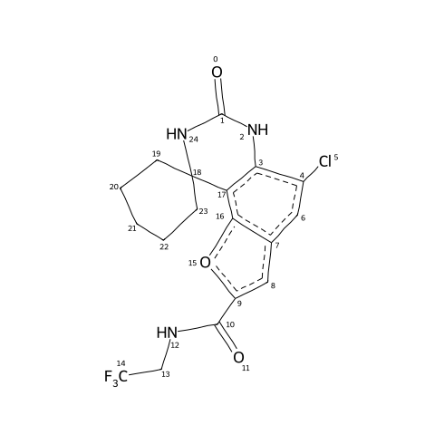 O=C1Nc2c(Cl)cc3cc(C(=O)NCC(F)(F)F)oc3c2C2(CCCCC2)N1